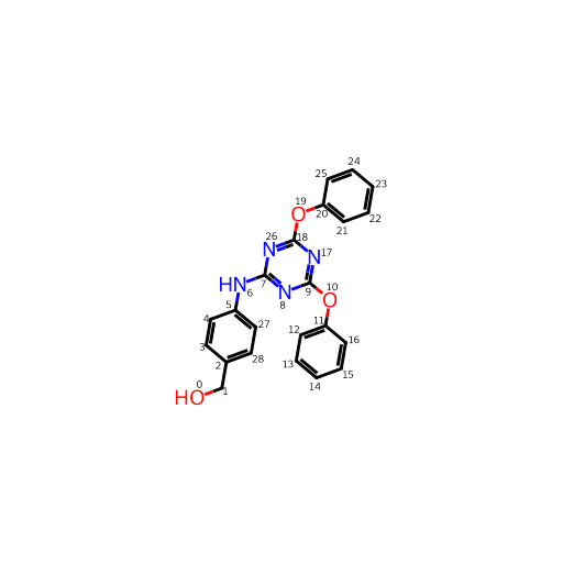 OCc1ccc(Nc2nc(Oc3ccccc3)nc(Oc3ccccc3)n2)cc1